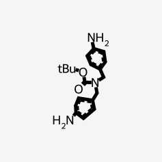 CC(C)(C)OC(=O)N(Cc1ccc(N)cc1)Cc1ccc(N)cc1